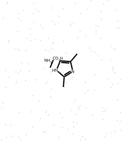 CC(=O)O.Cc1c[nH]c(C)n1.N